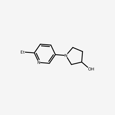 CCc1ccc(N2CCC(O)C2)cn1